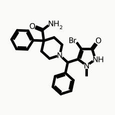 Cn1[nH]c(=O)c(Br)c1C(c1ccccc1)N1CCC(C(N)=O)(c2ccccc2)CC1